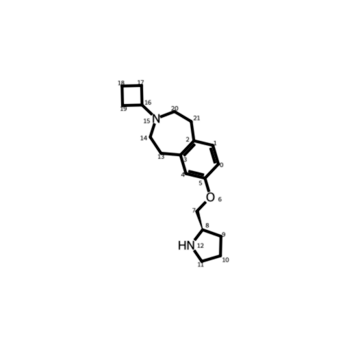 c1cc2c(cc1OC[C@H]1CCCN1)CCN(C1CCC1)CC2